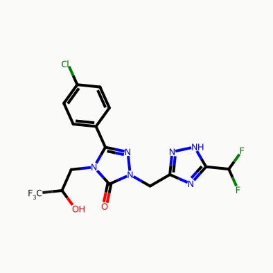 O=c1n(Cc2n[nH]c(C(F)F)n2)nc(-c2ccc(Cl)cc2)n1CC(O)C(F)(F)F